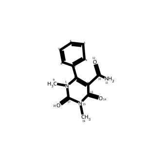 Cn1c(-c2ccccc2)c(C(N)=O)c(=O)n(C)c1=O